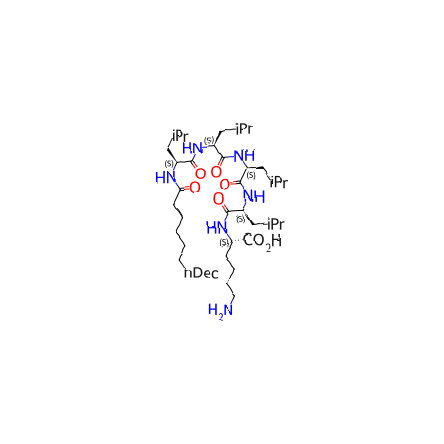 CCCCCCCCCCCCCCCC(=O)N[C@@H](CC(C)C)C(=O)N[C@@H](CC(C)C)C(=O)N[C@@H](CC(C)C)C(=O)N[C@@H](CC(C)C)C(=O)N[C@@H](CCCCN)C(=O)O